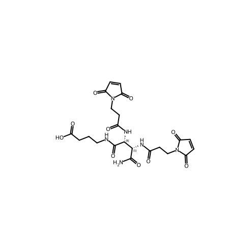 NC(=O)[C@@H](NC(=O)CCN1C(=O)C=CC1=O)[C@@H](NC(=O)CCN1C(=O)C=CC1=O)C(=O)NCCCC(=O)O